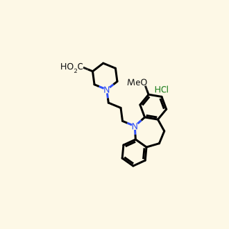 COc1ccc2c(c1)N(CCCN1CCCC(C(=O)O)C1)c1ccccc1CC2.Cl